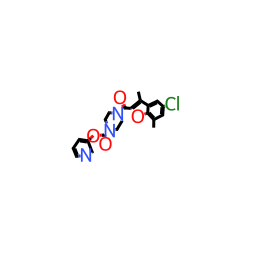 Cc1c(C(=O)N2CCN(C(=O)Oc3cccnc3)CC2)oc2c(C)cc(Cl)cc12